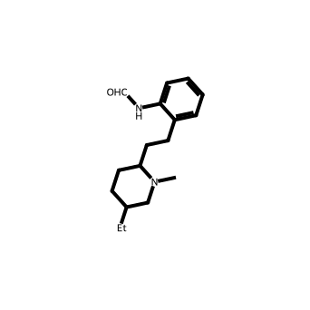 CCC1CCC(CCc2ccccc2NC=O)N(C)C1